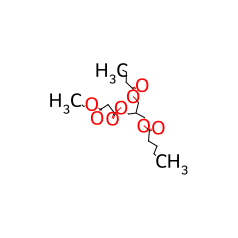 CCCCC(=O)OCC(COC(=O)CCC)COC(=O)CC(=O)OCC